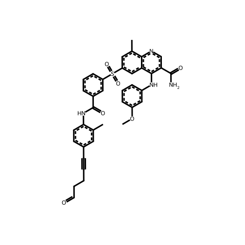 COc1cccc(Nc2c(C(N)=O)cnc3c(C)cc(S(=O)(=O)c4cccc(C(=O)Nc5ccc(C#CCCC=O)cc5C)c4)cc23)c1